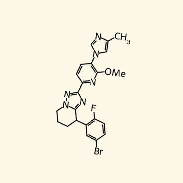 COc1nc(-c2nc3n(n2)CCCC3c2cc(Br)ccc2F)ccc1-n1cnc(C)c1